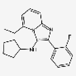 CCc1cccc2nc(-c3ccccc3F)c(NC3CCCC3)n12